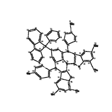 CC(C)(C)c1ccc(N2c3cc([Si](c4ccccc4)(c4ccccc4)c4ccccc4)cc4c3B(c3oc5c(C(C)(C)C)cc(C(C)(C)C)cc5c32)c2oc3c(C(C)(C)C)cc(C(C)(C)C)cc3c2N4c2ccc(C(C)(C)C)cc2)cc1